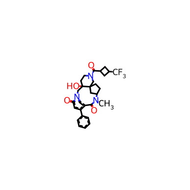 CN1C(=O)c2cn(c(=O)cc2-c2ccccc2)CC2(O)CCN(C(=O)C3CC(C(F)(F)F)C3)CC23CCC1C3